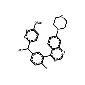 COc1ccc(C(O)c2ccc(F)c(-c3ncnc4cc(N5CCOCC5)ccc34)c2)nn1